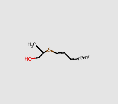 CCCCCCCCSC(C)CO